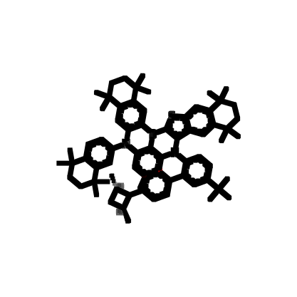 Cc1cc2c3c(c1)N(c1ccc(C(C)(C)C)cc1-c1ccc(C4[C@@H](C)C[C@@H]4C)cc1)c1c(sc4cc5c(cc14)C(C)(C)CCC5(C)C)B3c1cc3c(cc1N2c1ccc2c(c1)C(C)(C)CCC2(C)C)C(C)(C)CCC3(C)C